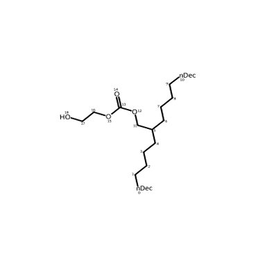 CCCCCCCCCCCCCCC(CCCCCCCCCCCCCC)COC(=O)OCCO